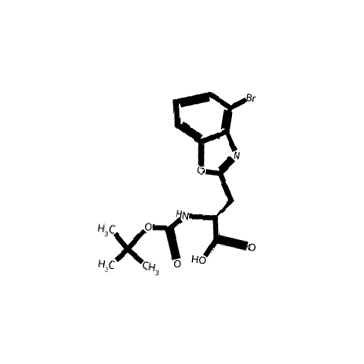 CC(C)(C)OC(=O)N[C@@H](Cc1nc2c(Br)cccc2o1)C(=O)O